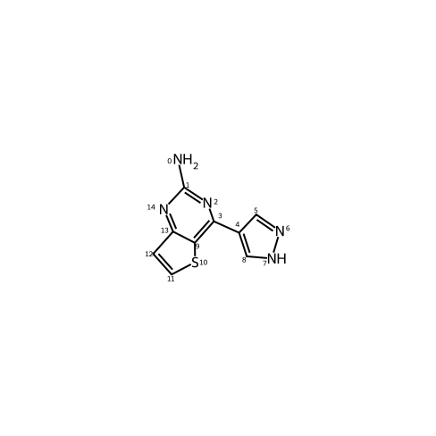 Nc1nc(-c2cn[nH]c2)c2sccc2n1